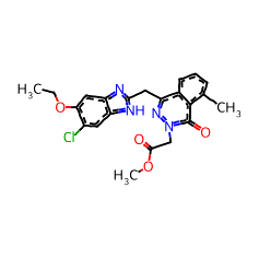 CCOc1cc2nc(Cc3nn(CC(=O)OC)c(=O)c4c(C)cccc34)[nH]c2cc1Cl